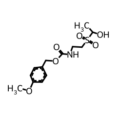 COc1ccc(COC(=O)NCCS(=O)(=O)C(C)O)cc1